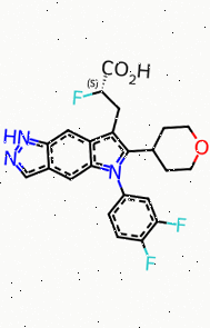 O=C(O)[C@@H](F)Cc1c(C2CCOCC2)n(-c2ccc(F)c(F)c2)c2cc3cn[nH]c3cc12